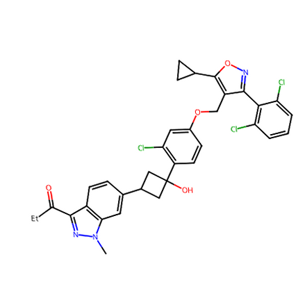 CCC(=O)c1nn(C)c2cc(C3CC(O)(c4ccc(OCc5c(-c6c(Cl)cccc6Cl)noc5C5CC5)cc4Cl)C3)ccc12